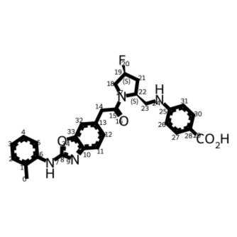 Cc1ccccc1Nc1nc2ccc(CC(=O)N3C[C@@H](F)C[C@H]3CNc3ccc(C(=O)O)cc3)cc2o1